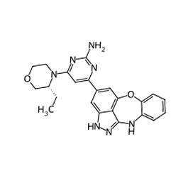 CC[C@@H]1COCCN1c1cc(-c2cc3c4c(n[nH]c4c2)Nc2ccccc2O3)nc(N)n1